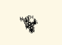 CC(C)CC(C(=O)O)c1cc(OCC(F)(F)F)c(-c2ccc3nsnc3c2)c(C(F)(F)F)c1